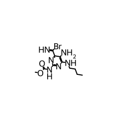 CCCCNc1nc(NC(=O)OC)nc(C(=N)Br)c1N